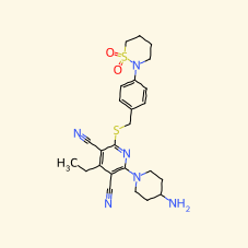 CCc1c(C#N)c(SCc2ccc(N3CCCCS3(=O)=O)cc2)nc(N2CCC(N)CC2)c1C#N